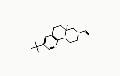 O=CN1CCN2c3ncc(C(F)(F)F)cc3CC[C@@H]2C1